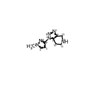 Cn1ccc(-n2nnc3c2CCNC3)n1